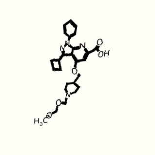 COCOCN1CCC(COc2cc(C(=O)O)nc3c2c(C2CCC2)nn3-c2ccccc2)CC1